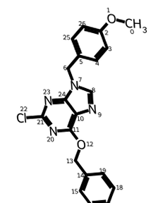 COc1ccc(Cn2cnc3c(OCc4ccccc4)nc(Cl)nc32)cc1